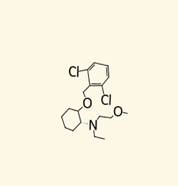 CCN(CCOC)[C@@H]1CCCCC1OCc1c(Cl)cccc1Cl